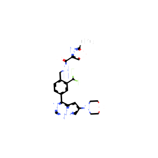 CC(C)(C)c1nc(C(=O)NCc2ccc(-c3ncnn4cc(N5CCOCC5)cc34)cc2C(F)F)co1